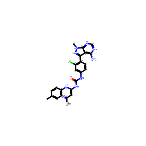 Cc1ccc(N/C(=C\C(=N)C(C)(C)C)NC(=O)Nc2ccc(-c3nn(C)c4ncnc(N)c34)c(Cl)c2)cc1